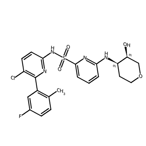 Cc1ccc(F)cc1-c1nc(NS(=O)(=O)c2cccc(N[C@@H]3CCOC[C@@H]3O)n2)ccc1Cl